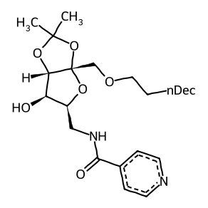 CCCCCCCCCCCCOC[C@@]12O[C@@H](CNC(=O)c3ccncc3)[C@@H](O)[C@@H]1OC(C)(C)O2